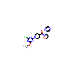 COc1nc(Cl)nc(N2CCC(C(=O)N3OCC[C@H]3c3cnccn3)CC2)n1